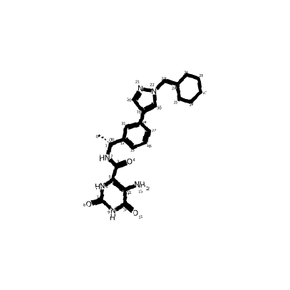 C[C@@H](NC(=O)c1[nH]c(=O)[nH]c(=O)c1N)c1cccc(-c2cnn(CC3CCCCC3)c2)c1